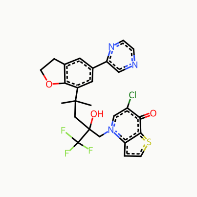 CC(C)(CC(O)(Cn1cc(Cl)c(=O)c2sccc21)C(F)(F)F)c1cc(-c2cnccn2)cc2c1OCC2